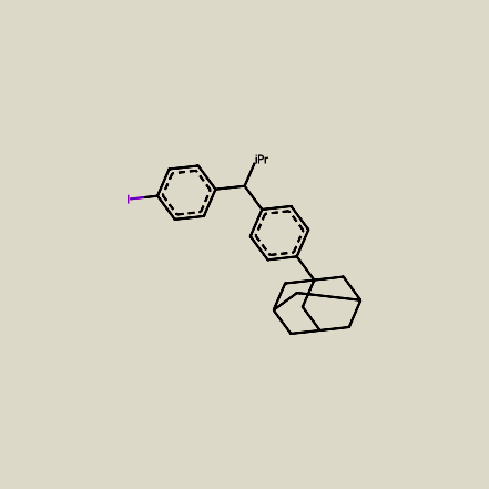 CC(C)C(c1ccc(I)cc1)c1ccc(C23CC4CC(CC(C4)C2)C3)cc1